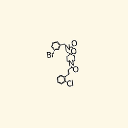 O=C(C=Cc1ccccc1Cl)N1CCC2(CC1)CN(Cc1cccc(Br)c1)C(=O)O2